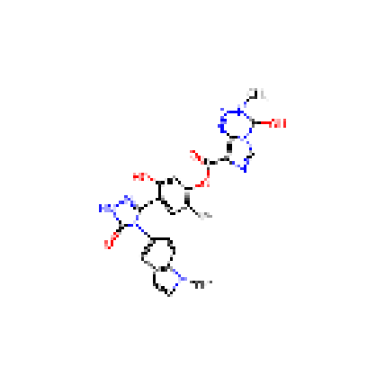 CCCn1ccc2cc(-n3c(-c4cc(C(C)C)c(OC(=O)c5ncn6c5N=NN(C)C6O)cc4O)n[nH]c3=O)ccc21